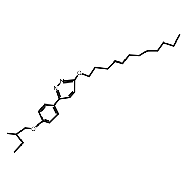 CCCCCCCCCCCCOc1ccc(-c2ccc(OCC(C)CC)cc2)nn1